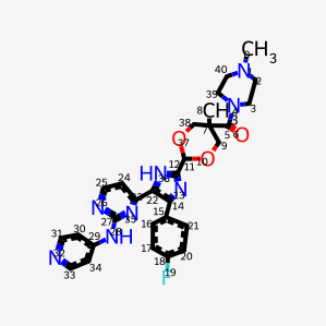 CN1CCN(C(=O)C2(C)COC(c3nc(-c4ccc(F)cc4)c(-c4ccnc(Nc5ccncc5)n4)[nH]3)OC2)CC1